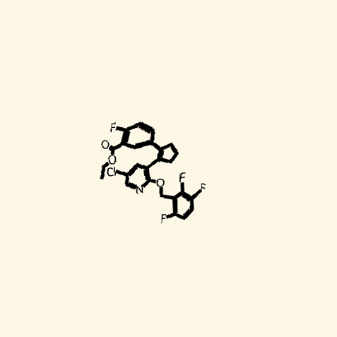 CCOC(=O)c1cc(C2=C(c3cc(Cl)cnc3OCc3c(F)ccc(F)c3F)CCC2)ccc1F